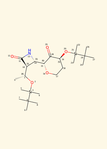 C[C@@H](O[Si](C)(C)C(C)(C)C)[C@H]1C(=O)N[C@@H]1[C@H]1OCC[C@H](O[Si](C)(C)C(C)(C)C)C1=O